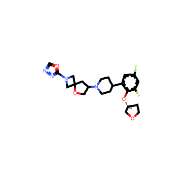 Fc1cc(F)c(O[C@@H]2CCOC2)c(C2CCN(C3COC4(C3)CN(c3nnco3)C4)CC2)c1